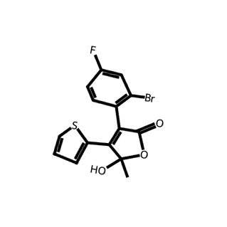 CC1(O)OC(=O)C(c2ccc(F)cc2Br)=C1c1cccs1